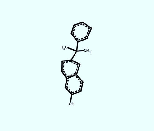 CC(C)(c1ccccc1)c1ccc2cc(O)ccc2c1